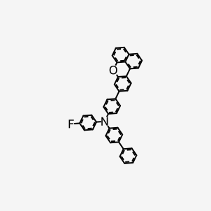 Fc1ccc(N(c2ccc(-c3ccccc3)cc2)c2ccc(-c3ccc4c(c3)Oc3cccc5cccc-4c35)cc2)cc1